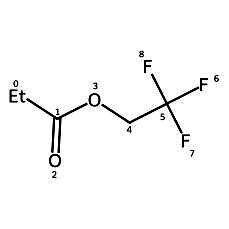 [CH2]CC(=O)OCC(F)(F)F